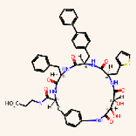 O=C(O)CCNC(=O)[C@@H]1Cc2ccc(cc2)NC(=O)[C@H](O)[C@@H](O)C(=O)N[C@H](Cc2cccs2)C(=O)N[C@@H](Cc2ccc(-c3ccccc3)cc2)C(=O)N[C@H](Cc2ccccc2)C(=O)N1